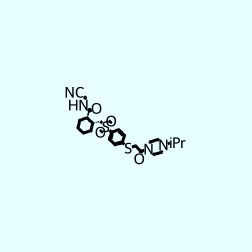 CC(C)N1CCN(C(=O)CSc2ccc(S(=O)(=O)C[C@@H]3CCCC[C@H]3C(=O)NCC#N)cc2)CC1